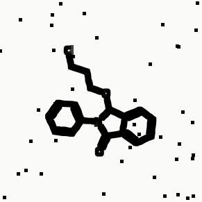 O=C1c2ccccc2C(OCCCCl)N1c1ccccc1